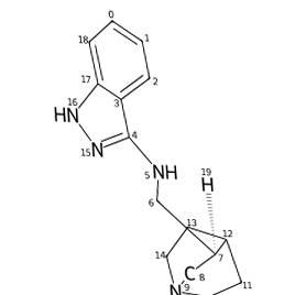 c1ccc2c(NC[C@@H]3CN4CCC3CC4)n[nH]c2c1